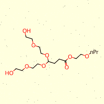 CCCOCCOC(=O)CCC(OCCOCCO)OCCOCCO